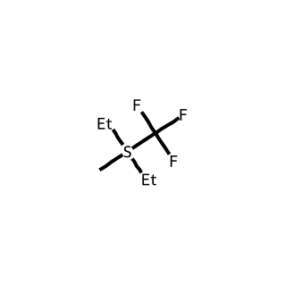 CCS(C)(CC)C(F)(F)F